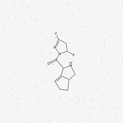 O=C(C1NCC2CCC=C21)N1N=C(F)CC1F